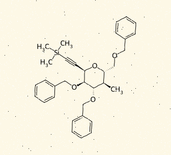 C[C@H]1[C@H](OCc2ccccc2)[C@@H](OCc2ccccc2)[C@@H](C#C[Si](C)(C)C)O[C@@H]1COCc1ccccc1